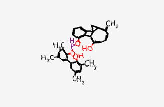 C=C1/C=C\C=C(\O)C2c3c(OPOc4c(C)cc(C)cc4-c4cc(C)cc(C)c4O)cccc3C23CC13